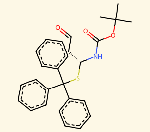 CC(C)(C)OC(=O)N[C@@H](CC=O)SC(c1ccccc1)(c1ccccc1)c1ccccc1